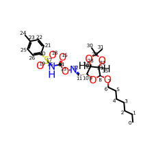 CCCCCCCO[C@H]1O[C@H](C=NOC(=O)NS(=O)(=O)c2ccc(C)cc2)[C@@H]2OC(C)(C)O[C@H]12